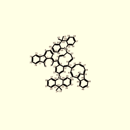 CC1=c2c(ccc\c2=C(C)/C2=c3\ccc(N4c5ccccc5C(C)(C)c5ccccc54)c\c3=C(c3ccccc4cc(cc3)-c3ccccc3-4)\C=C\CC(N3c4ccccc4C(C)(C)c4ccccc43)\C=C\2)-c2ccccc21